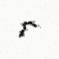 O=C1CCC(N2C(=O)c3ccc(Bc4ccc(-c5cc6c(Oc7ccc8c(c7)[C@H]7[C@@H](O8)[C@@H]7c7nc8ccc(C(F)(F)F)cc8[nH]7)ccnc6[nH]c5=O)cc4)cc3C2=O)C(=O)N1